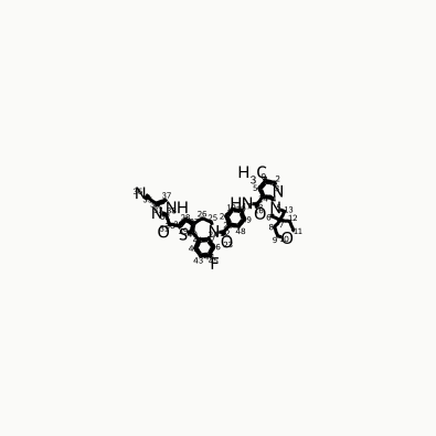 Cc1cnc(N2CC3(CCOCC3)C2)c(C(=O)Nc2ccc(C(=O)N3CCc4cc(C(=O)c5nc(C#N)c[nH]5)sc4-c4ccc(F)cc43)cc2)c1